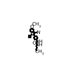 CCCCNC(=O)Nc1ccc(-c2c(C#N)c3cc(OCC)ccc3n2C2CCC2)cc1